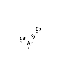 [Al].[Ca].[Ca].[Si]